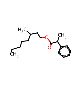 CCCCCC(C)CCOC(=O)C(C)c1ccccc1